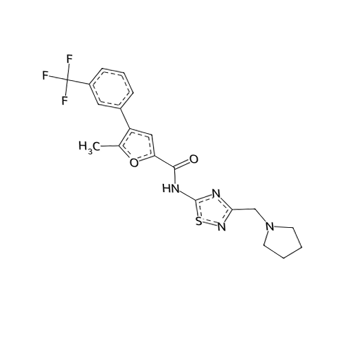 Cc1oc(C(=O)Nc2nc(CN3CCCC3)ns2)cc1-c1cccc(C(F)(F)F)c1